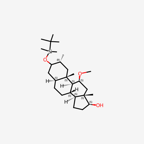 CO[C@H]1C[C@]2(C)[C@@H](O)CC[C@H]2[C@@H]2CC[C@H]3CC(O[Si](C)(C)C(C)(C)C)[C@H](C)C[C@]3(C)[C@H]21